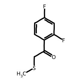 CSCC(=O)c1ccc(F)cc1F